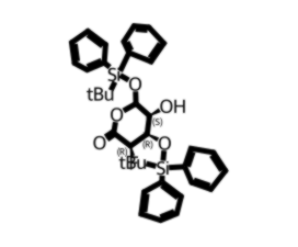 CC(C)(C)[Si](OC1OC(=O)[C@H](F)[C@H](O[Si](c2ccccc2)(c2ccccc2)C(C)(C)C)[C@@H]1O)(c1ccccc1)c1ccccc1